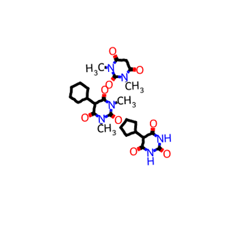 CN1C(=O)C(C2CCCCC2)C(=O)N(C)C1=O.CN1C(=O)CC(=O)N(C)C1=O.O=C1NC(=O)C(C2CCCC2)C(=O)N1